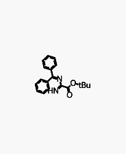 CC(C)(C)OC(=O)C(=N)N=C(c1ccccc1)c1ccccc1